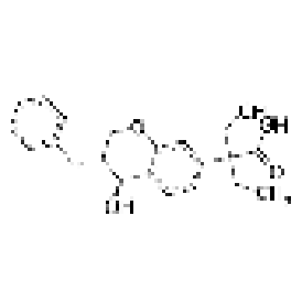 CCC(CC)(C(=O)O)c1ccc2c(c1)OC[C@@H](Cc1ccccc1)[C@@H]2O